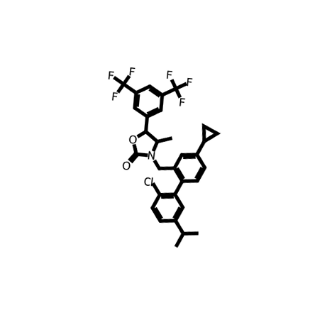 CC(C)c1ccc(Cl)c(-c2ccc(C3CC3)cc2CN2C(=O)OC(c3cc(C(F)(F)F)cc(C(F)(F)F)c3)C2C)c1